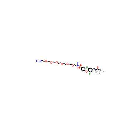 CC(=O)/C(C)=C/c1cc(F)c(Oc2ccc(S(=O)(=O)NCCOCCOCCOCCOCCOCCOCCN)cc2)c(F)c1